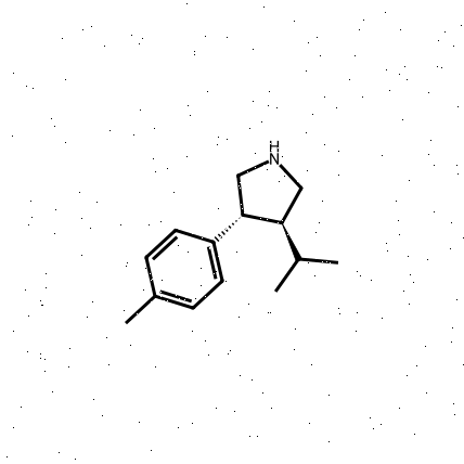 Cc1ccc([C@@H]2CNC[C@H]2C(C)C)cc1